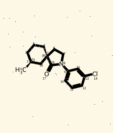 C[C@H]1CCC[C@]2(CCN(c3cccc(Cl)c3)C2=O)C1